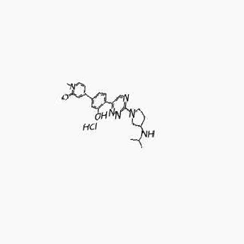 CC(C)NC1CCN(c2ncc(-c3ccc(-c4ccn(C)c(=O)c4)cc3O)nn2)C1.Cl